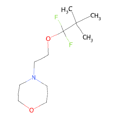 CC(C)(C)C(F)(F)OCCN1CCOCC1